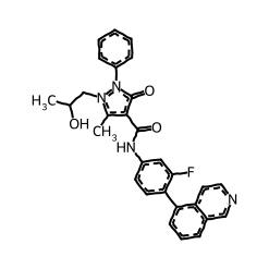 Cc1c(C(=O)Nc2ccc(-c3cccc4cnccc34)c(F)c2)c(=O)n(-c2ccccc2)n1CC(C)O